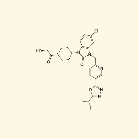 O=C(CO)N1CCC(n2c(=O)n(Cc3ccc(-c4nnc(C(F)F)o4)cn3)c3cc(Cl)ccc32)CC1